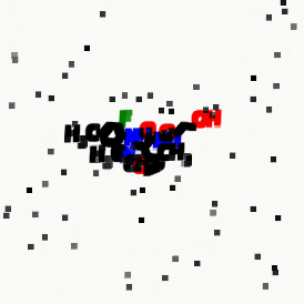 Cc1ccc(N/C(=C(\C(=O)NOCCCO)c2occc2C)N(C)C=O)c(F)c1